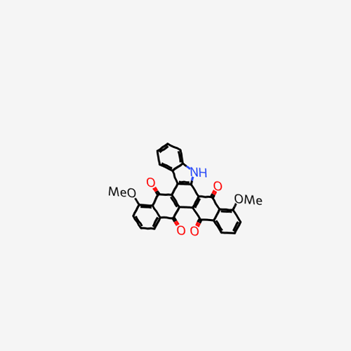 COc1cccc2c(=O)c3c(c(=O)c12)c1[nH]c2ccccc2c1c1c(=O)c2c(OC)cccc2c(=O)c31